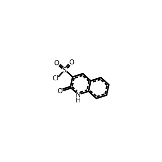 O=c1[nH]c2ccccc2cc1S(=O)(=O)Cl